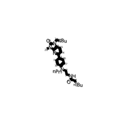 CCCN(CCNC(=O)CC(C)(C)C)c1ccc(-c2ccc3c(n2)n(C)c(=O)n3CC(C)(C)C)cc1